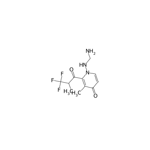 Cc1c(C(=O)C(C)C(F)(F)F)n(NCN)ccc1=O